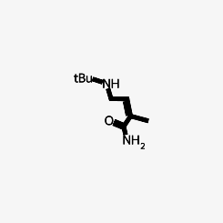 CC(=CCNC(C)(C)C)C(N)=O